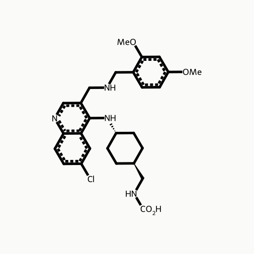 COc1ccc(CNCc2cnc3ccc(Cl)cc3c2N[C@H]2CC[C@H](CNC(=O)O)CC2)c(OC)c1